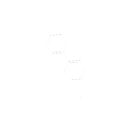 O=COc1ccc(-c2ccc(C(=O)O)cc2O)c(O)c1